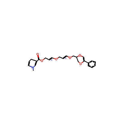 CN1C=CCC(C(=O)OC/C=C/OC/C=C/OCC2COC(c3ccccc3)=CO2)=C1